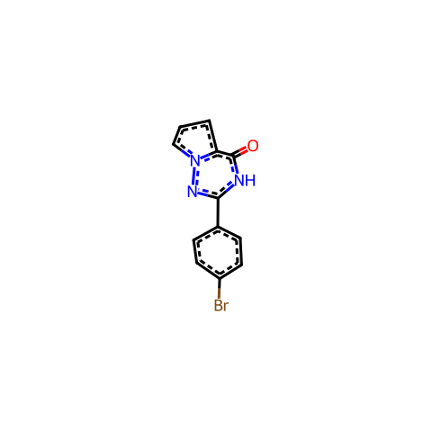 O=c1[nH]c(-c2ccc(Br)cc2)nn2cccc12